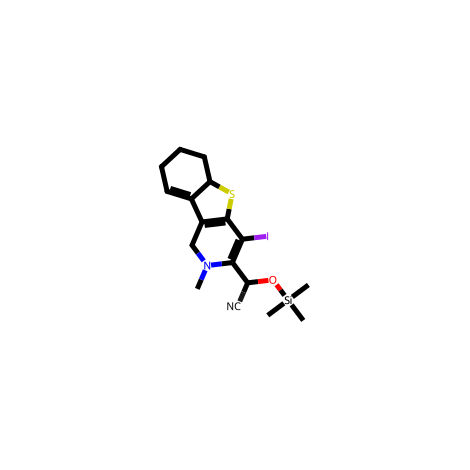 CN1CC2=C(SC3CCCC=C23)C(I)=C1C(C#N)O[Si](C)(C)C